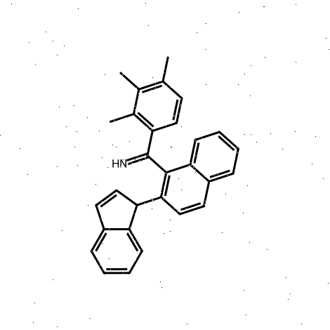 Cc1ccc(C(=N)c2c(C3C=Cc4ccccc43)ccc3ccccc23)c(C)c1C